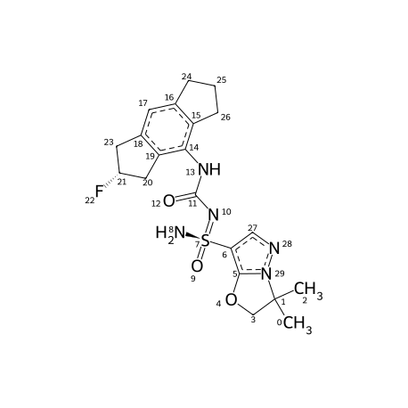 CC1(C)COc2c([S@](N)(=O)=NC(=O)Nc3c4c(cc5c3C[C@H](F)C5)CCC4)cnn21